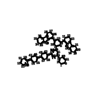 c1ccc(-c2cc(-c3cc(-c4cccc5c4sc4ccccc45)cc(-c4cccc5c4sc4ccccc45)c3)nc(-c3ccc(-c4ccc(-c5ccccn5)cc4)cc3)n2)cc1